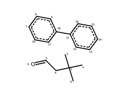 CC(C)(C)CC=O.c1ccc(-c2ccccc2)cc1